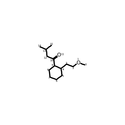 COCCC1CCCCC1C(=O)CC(C)C